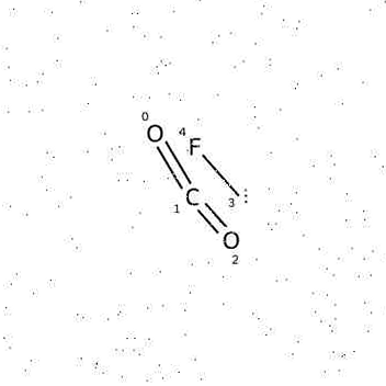 O=C=O.[C]F